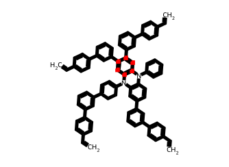 C=Cc1ccc(-c2cccc(C3=CC=C(N(c4ccc(-c5cccc(-c6ccc(C=C)cc6)c5)cc4)c4cc(-c5cccc(-c6ccc(C=C)cc6)c5)ccc4N(C4=C=C=CC=C4)c4ccc(-c5cccc(-c6ccc(C=C)cc6)c5)cc4)CC3)c2)cc1